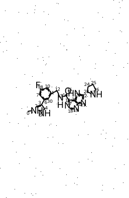 CN/C=C(\C=N)c1cc(F)cc(CNC(=O)c2ncnc3nc([C@@H]4CCCN4)[nH]c23)c1